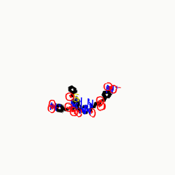 NC(CCC(=O)OCc1ccc([N+](=O)[O-])cc1)C(=O)N1CCN(C(=O)[C@@H]2C[C@H](SC(=O)c3ccccc3)CN2C(=O)OCc2ccc([N+](=O)[O-])cc2)CC1